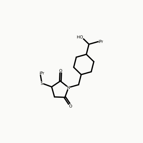 CC(C)SC1CC(=O)N(CC2CCC(C(O)C(C)C)CC2)C1=O